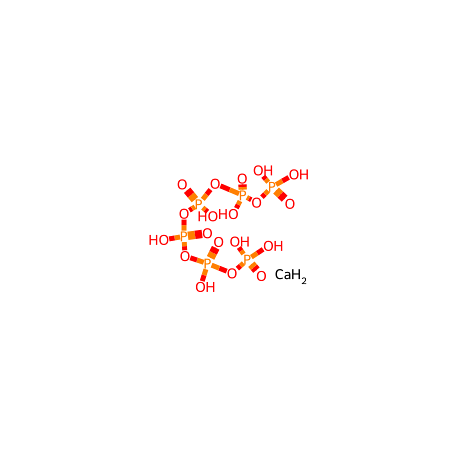 O=P(O)(O)OP(=O)(O)OP(=O)(O)OP(=O)(O)OP(=O)(O)OP(=O)(O)O.[CaH2]